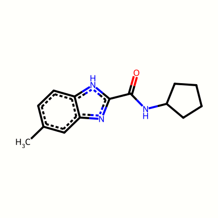 Cc1ccc2[nH]c(C(=O)NC3CCCC3)nc2c1